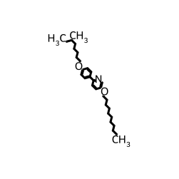 CCCCCCCCCCCOc1ccc(-c2ccc(OCCCCCC(C)CC)cc2)nc1